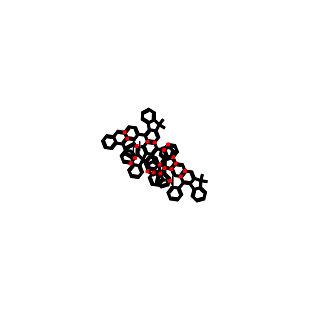 CC1(C)c2ccccc2-c2c(-c3ccccc3N(c3ccccc3-c3ccc4cccc(-c5ccc(N(c6ccccc6-c6cccc7c6-c6ccccc6C7(C)C)c6ccccc6-c6cccc7ccccc67)c6c5-c5ccccc5C65c6ccccc6-c6ccccc65)c4c3)c3cccc4c3C3(c5ccccc5-c5ccccc53)c3ccccc3-4)cccc21